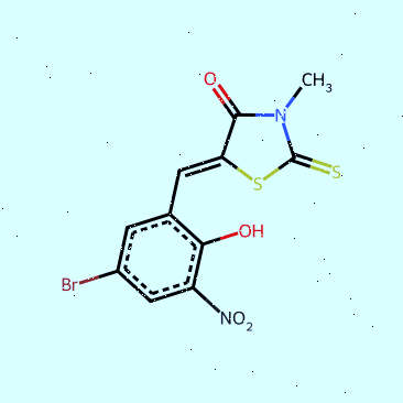 CN1C(=O)C(=Cc2cc(Br)cc([N+](=O)[O-])c2O)SC1=S